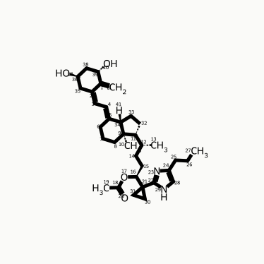 C=C1/C(=C\C=C2/CCC[C@]3(C)[C@@H]([C@H](C)CC[C@H](OC(C)=O)C4(c5nc(CCC)c[nH]5)CC4)CC[C@@H]23)C[C@@H](O)C[C@@H]1O